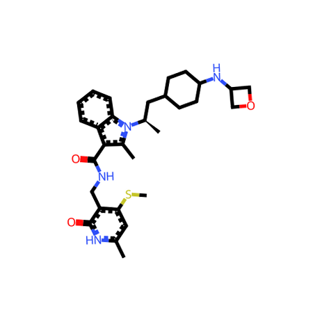 CSc1cc(C)[nH]c(=O)c1CNC(=O)c1c(C)n([C@H](C)CC2CCC(NC3COC3)CC2)c2ccccc12